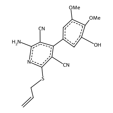 C=CCSc1nc(N)c(C#N)c(-c2cc(O)c(OC)c(OC)c2)c1C#N